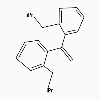 C=C(c1ccccc1CC(C)C)c1ccccc1CC(C)C